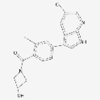 Cc1cc(-c2c[nH]c3ncc(Cl)cc23)ccc1C(=O)N1CC(O)C1